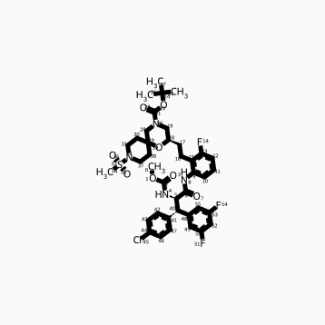 COC(=O)N[C@H](C(=O)Nc1cccc(F)c1CC[C@@H]1CN(C(=O)OC(C)(C)C)CC2(CCN(S(C)(=O)=O)CC2)O1)[C@@H](c1ccc(Cl)cc1)c1cc(F)cc(F)c1